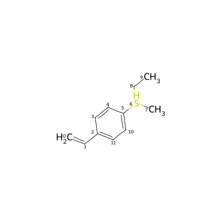 C=Cc1ccc([SH](C)CC)cc1